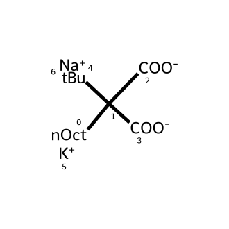 CCCCCCCCC(C(=O)[O-])(C(=O)[O-])C(C)(C)C.[K+].[Na+]